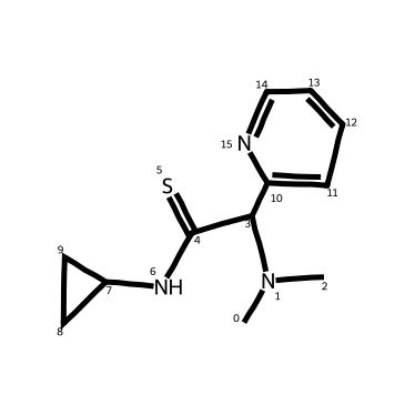 CN(C)C(C(=S)NC1CC1)c1ccccn1